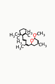 COC1C=C(C)CC(C=C(C)C=CC2=C(C)CCCC2(C)C)O1